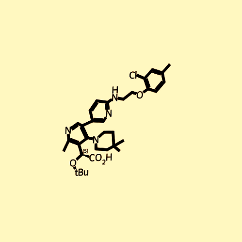 Cc1ccc(OCCNc2ccc(-c3cnc(C)c([C@H](OC(C)(C)C)C(=O)O)c3N3CCC(C)(C)CC3)cn2)c(Cl)c1